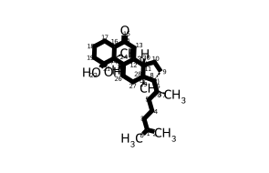 CC(C)CCC[C@@H](C)[C@H]1CC[C@H]2C3=CC(=O)C4CCCC(O)(O)[C@]4(C)[C@H]3CC[C@]12C